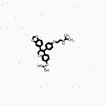 CC/C(=C(/c1ccc(OCCNC(C)C)cc1)c1ccc(OP(O)O)cc1)c1ccc2c(c1)OCO2